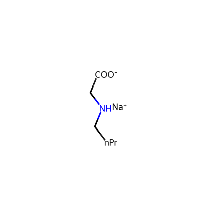 CCCCNCC(=O)[O-].[Na+]